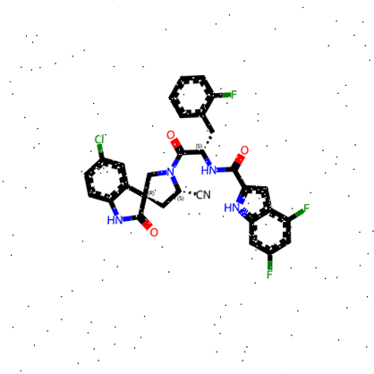 N#C[C@@H]1C[C@@]2(CN1C(=O)[C@H](Cc1ccccc1F)NC(=O)c1cc3c(F)cc(F)cc3[nH]1)C(=O)Nc1ccc(Cl)cc12